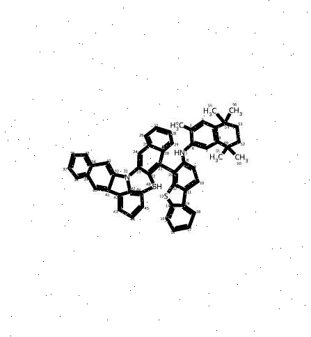 Cc1cc2c(cc1Nc1ccc3c(sc4ccccc43)c1-c1c3c(cc4ccccc14)-n1c4cc5ccccc5cc4c4cccc(c41)B3)C(C)(C)CCC2(C)C